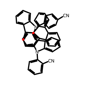 N#Cc1ccc(-n2c3ccccc3c3cccc(-c4ccccc4-c4ccccc4-c4cccc5c4c4ccccc4n5-c4ccccc4C#N)c32)cc1